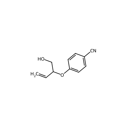 C=CC(CO)Oc1ccc(C#N)cc1